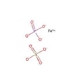 O=P([O-])([O-])[O-].O=S(=O)([O-])[O-].[Fe+5]